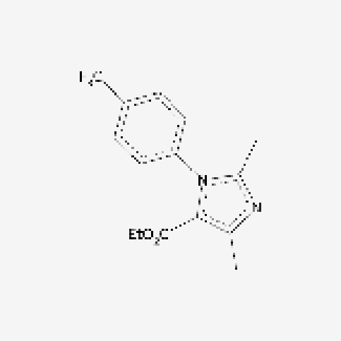 CCOC(=O)c1c(C)nc(C)n1-c1ccc(C(F)(F)F)cc1